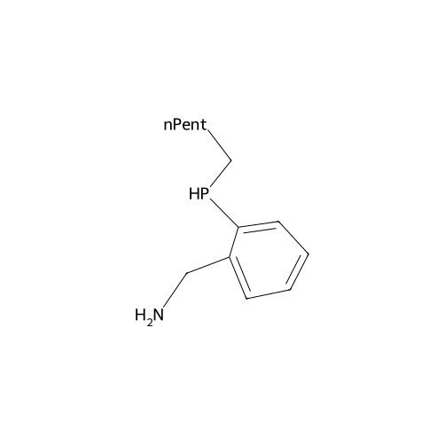 CCCCCCPc1ccccc1CN